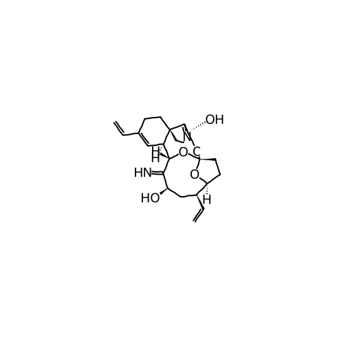 C=CC1=C[C@@H]2[C@@H]3O[C@]4(CC[C@H](O4)[C@@H](C=C)C[C@@H](O)C3=N)C[C@H](O)C3=NCC[C@@]32CC1